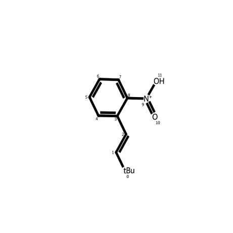 CC(C)(C)/C=C/c1ccccc1[N+](=O)O